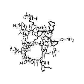 CCc1cccc2c(C[C@@H]3NC(=O)[C@H]([C@@H](C)O)NC(=O)[C@H](CC(N)=O)NC(=O)[C@@H](NC(C)=O)C(C)(C)SSC(C)(C)[C@@H](C(=O)N[C@@H](Cc4ccc(OCCN)cc4)C(=O)N[C@@H](Cc4ccc5ccccc5c4)C(=O)N[C@@](C)(CCCCN)C(=O)N[C@@H](CCCCNC(C)=O)C(=O)N[C@@H](CC(C)=O)C(=O)N[C@H](CC(C)C)C(N)=O)NC(=O)[C@H](CCCCNC(C)=O)NC3=O)c[nH]c12